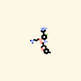 Cc1ccc2c(c1)CC(C(=O)Nc1cc(F)c(-c3cn[nH]c3)cc1OCCCN(C)C)CO2